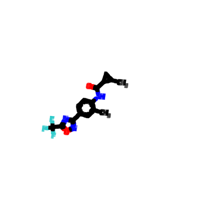 Cc1cc(-c2noc(C(F)(F)F)n2)ccc1NC(=O)C1CC1C